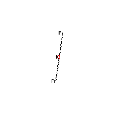 CC(C)CCCCCCCCCCCCCCCOCCCCCCCCCCCCCCCC(C)C.[K]